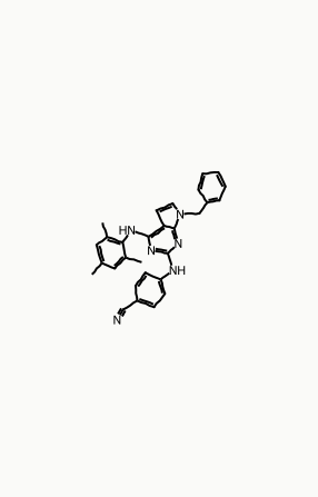 Cc1cc(C)c(Nc2nc(Nc3ccc(C#N)cc3)nc3c2ccn3Cc2ccccc2)c(C)c1